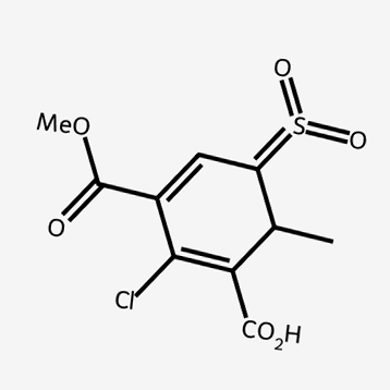 COC(=O)C1=CC(=S(=O)=O)C(C)C(C(=O)O)=C1Cl